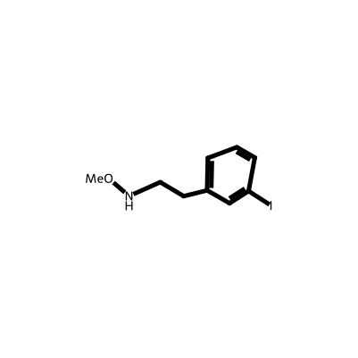 CONCCc1cccc(I)c1